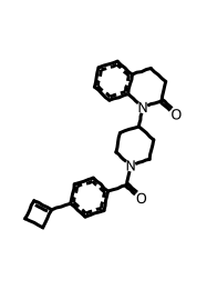 O=C(c1ccc(C2=CCC2)cc1)N1CCC(N2C(=O)CCc3ccccc32)CC1